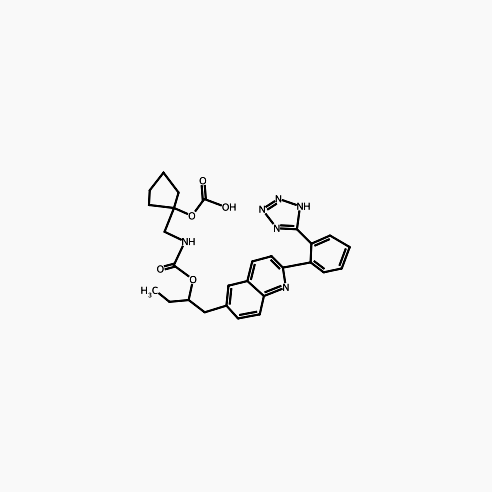 CCC(Cc1ccc2nc(-c3ccccc3-c3nnn[nH]3)ccc2c1)OC(=O)NCC1(OC(=O)O)CCCC1